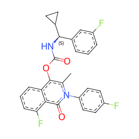 Cc1c(OC(=O)N[C@H](c2cccc(F)c2)C2CC2)c2cccc(F)c2c(=O)n1-c1ccc(F)cc1